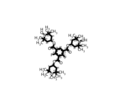 CN1C(C)(C)CC(OC(=O)c2c(F)c(C(=O)OC3CC(C)(C)N(O)C(C)(C)C3)cc(C(=O)OC3CC(C)(C)N(O)C(C)(C)C3)c2F)CC1(C)C